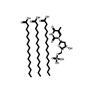 CCCCCCCCCCCCCCCC(=O)O.CCCCCCCCCCCCCCCC(=O)O.CCCCCCCCCCCCCCCC(=O)O.Cc1cn([C@H]2C[C@H](O)[C@@H](COP(=O)(O)O)O2)c(=O)[nH]c1=O